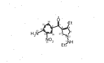 CCNN1CC(CC)=C(C(=O)c2ccc(N)c([N+](=O)[O-])c2)S1